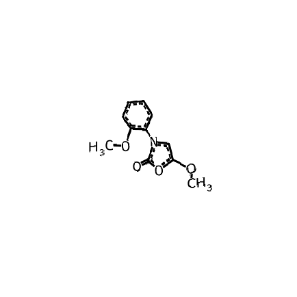 COc1cn(-c2ccccc2OC)c(=O)o1